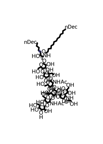 CCCCCCCCCCCCC/C=C/[C@@H](O)[C@H](CO[C@@H]1OC(CO)[C@@H](O[C@@H]2OC(CO)[C@H](O[C@@H]3OC(CO)[C@H](O)[C@H](O[C@@H]4OC(CO)[C@H](O[C@@H]5OC(CO)[C@H](O)[C@H](O[C@@H]6OC(CO)[C@H](O)[C@H](O)C6O)C5NC(C)=O)[C@H](O[C@]5(C(=O)O)CC(O)[C@@H](NC(=O)CO)C([C@H](O)[C@H](O)CO)O5)C4O)C3NC(C)=O)[C@H](O)C2O)[C@H](O)C1O)NC(=O)CCCCCCCCCCCCCCCCCCCCCCC